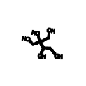 OCC(O)C(O)(CO)CO